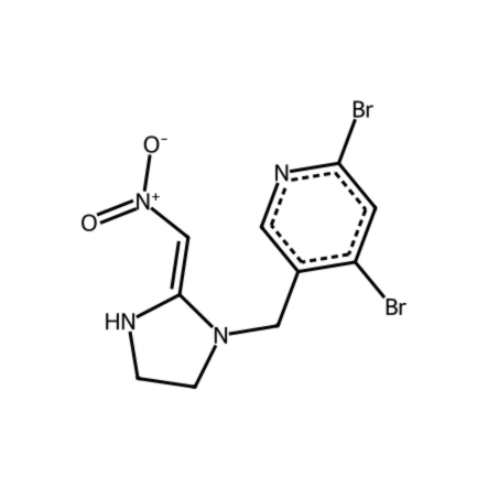 O=[N+]([O-])C=C1NCCN1Cc1cnc(Br)cc1Br